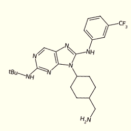 CC(C)(C)Nc1ncc2nc(Nc3cccc(C(F)(F)F)c3)n(C3CCC(CN)CC3)c2n1